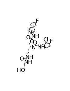 CN(C(=O)NCc1cccc(F)c1Cl)[C@H](CCCNC(=O)NCCO)COC(=O)Nc1cc2cc(F)ccc2cn1